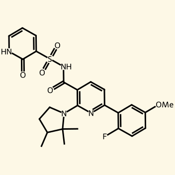 COc1ccc(F)c(-c2ccc(C(=O)NS(=O)(=O)c3ccc[nH]c3=O)c(N3CCC(C)C3(C)C)n2)c1